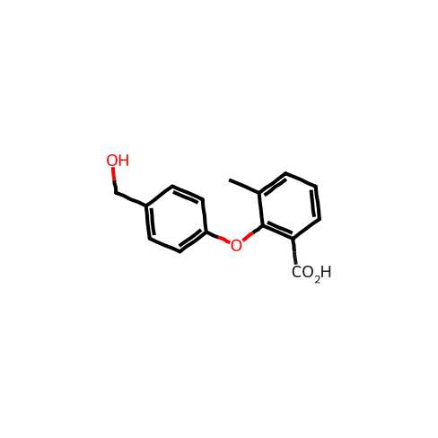 Cc1cccc(C(=O)O)c1Oc1ccc(CO)cc1